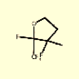 CC1(F)CCOC1(F)C(F)(F)F